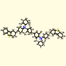 Cc1ccccc1N(c1ccc(-c2ccc3sc4ccccc4c3c2)cc1)c1c(C)cc(-c2cc(C)c(N(c3ccc(-c4ccc5sc6ccccc6c5c4)cc3)c3ccccc3C)c(C)c2)cc1C